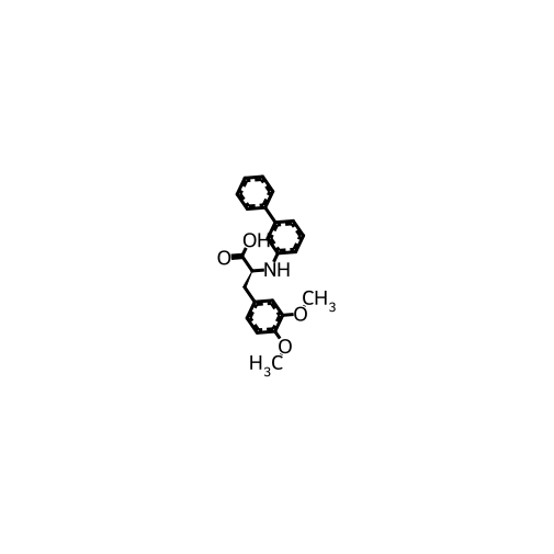 COc1ccc(C[C@H](Nc2cccc(-c3ccccc3)c2)C(=O)O)cc1OC